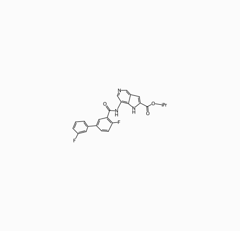 CC(C)OC(=O)c1cc2cncc(NC(=O)c3cc(-c4cccc(F)c4)ccc3F)c2[nH]1